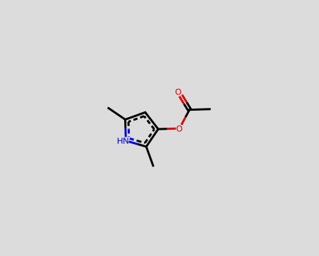 CC(=O)Oc1cc(C)[nH]c1C